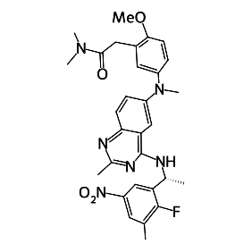 COc1ccc(N(C)c2ccc3nc(C)nc(N[C@H](C)c4cc([N+](=O)[O-])cc(C)c4F)c3c2)cc1CC(=O)N(C)C